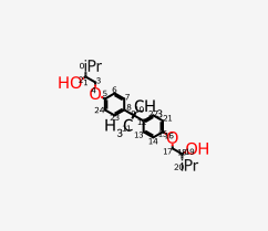 CC(C)C(O)COc1ccc(C(C)(C)c2ccc(OCC(O)C(C)C)cc2)cc1